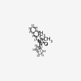 CC1(C)C(=O)N(C2C3CC4CC(C3)CC2C4)N1CC1=CC2C=CC=CC2C=C1